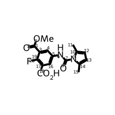 COC(=O)c1cc(NC(=O)n2c(C)ccc2C)cc(C(=O)O)c1F